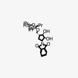 CC(C)[SiH](O[Si](OC[C@H]1C[C@@H](N2C(=O)c3ccccc3C2=O)[C@H](O)[C@@H]1O)(C(C)C)C(C)C)C(C)C